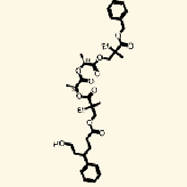 CCC(C)(COC(=O)[C@H](C)OC(=O)[C@H](C)OC(=O)C(C)(CC)COC(=O)CCC(CCO)c1ccccc1)C(=O)OCc1ccccc1